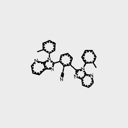 Cc1ccccc1-n1c(-c2cccc(-c3nc4cccnc4n3-c3ccccc3C)c2C#N)nc2cccnc21